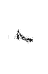 CCS(=O)(=O)N[C@H]1CCC(F)(F)C[C@H]1COc1ccc(C2CCCN(CC(F)F)C2=O)cc1